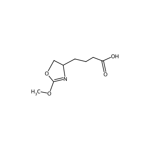 COC1=NC(CCCC(=O)O)CO1